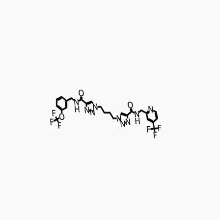 O=C(NCc1cccc(OC(F)(F)F)c1)c1cn(CCCCn2cc(C(=O)NCc3cc(C(F)(F)F)ccn3)nn2)nn1